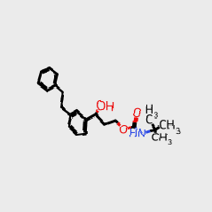 CC(C)(C)NC(=O)OCCC(O)c1cccc(CCc2ccccc2)c1